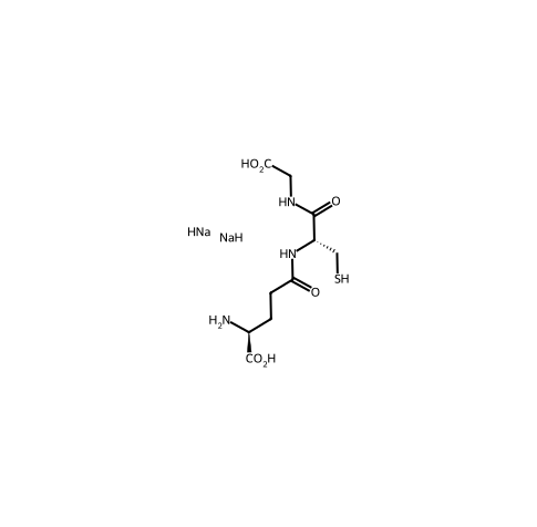 N[C@@H](CCC(=O)N[C@@H](CS)C(=O)NCC(=O)O)C(=O)O.[NaH].[NaH]